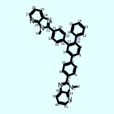 Cn1c(-c2ccc(-c3ccc(-c4ccccc4)c(-c4ccc(-c5nc6cccnc6n5C)cc4)c3)cc2)nc2cccnc21